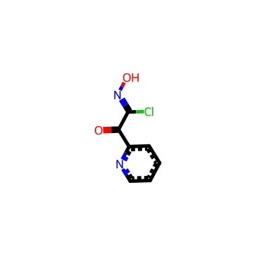 O=C(C(Cl)=NO)c1ccccn1